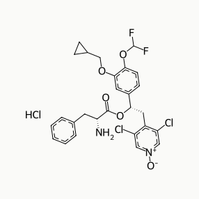 Cl.N[C@H](Cc1ccccc1)C(=O)O[C@@H](Cc1c(Cl)c[n+]([O-])cc1Cl)c1ccc(OC(F)F)c(OCC2CC2)c1